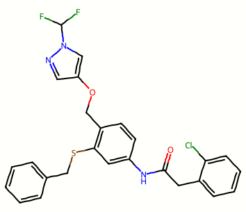 O=C(Cc1ccccc1Cl)Nc1ccc(COc2cnn(C(F)F)c2)c(SCc2ccccc2)c1